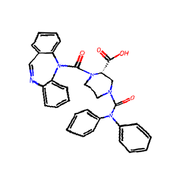 O=C(O)[C@@H]1CN(C(=O)N(c2ccccc2)c2ccccc2)CCN1C(=O)N1c2ccccc2C=Nc2ccccc21